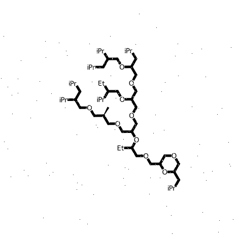 CCC(COCC1COCC(CC(C)C)O1)OC(COCC(COCC(CC(C)C)OCC(CC(C)C)C(C)C)OCC(CC)C(C)C)COC[C@H](C)COCC(CC(C)C)C(C)C